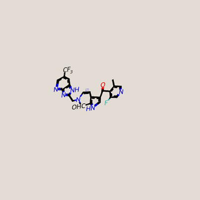 Cc1cncc(F)c1C(=O)c1c[nH]c(C=O)c1/C=C\N(C)Cc1nc2ncc(C(F)(F)F)cc2[nH]1